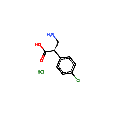 Cl.NC[C@@H](C(=O)O)c1ccc(Cl)cc1